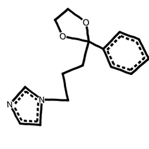 c1ccc(C2(CCCn3ccnc3)OCCO2)cc1